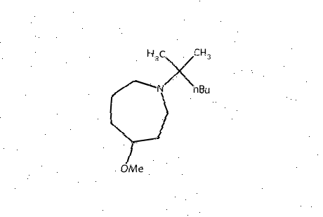 CCCCC(C)(C)N1CCCC(OC)CC1